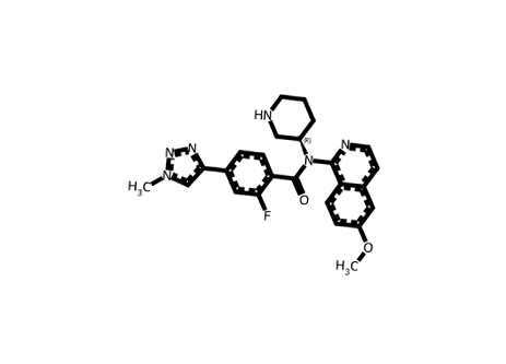 COc1ccc2c(N(C(=O)c3ccc(-c4cn(C)nn4)cc3F)[C@@H]3CCCNC3)nccc2c1